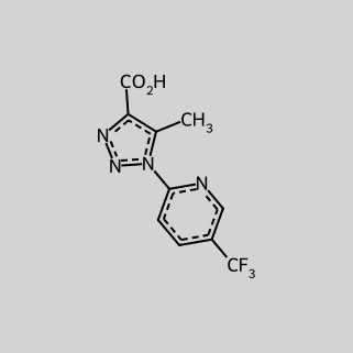 Cc1c(C(=O)O)nnn1-c1ccc(C(F)(F)F)cn1